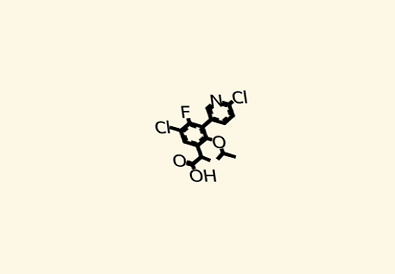 CC(C)Oc1c(C(C)C(=O)O)cc(Cl)c(F)c1-c1ccc(Cl)nc1